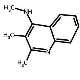 CNc1c(C)c(C)nc2ccccc12